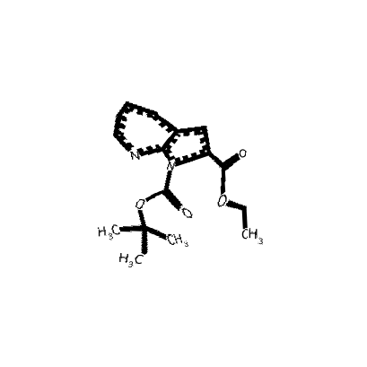 CCOC(=O)c1cc2cccnc2n1C(=O)OC(C)(C)C